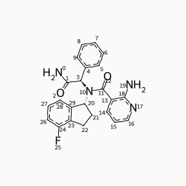 NC(=O)[C@@H](c1ccccc1)N(C(=O)c1cccnc1N)[C@@H]1CCc2c(F)cccc21